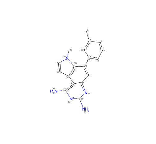 Cc1cccc(-c2cc3nc(N)nc(N)c3c3ccn(C)c23)c1